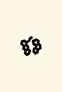 C=CCc1cccc2cc3ccccc3cc12.c1ccc2c(c1)ccc1ccccc12